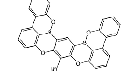 CC(C)c1c2c(cc3c1Oc1cccc4c1B3Oc1ccccc1-4)B1Oc3ccccc3-c3cccc(c31)O2